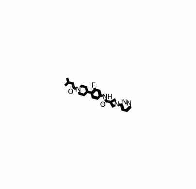 CC(C)CC(=O)N1CCC(c2ccc(NC(=O)C3CN(c4cccnn4)C3)cc2F)CC1